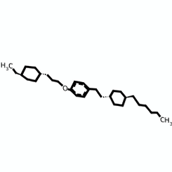 CCCCCC[C@H]1CC[C@H](CCc2ccc(OCCC[C@H]3CC[C@H](CC)CC3)cc2)CC1